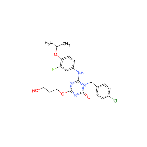 CC(C)Oc1ccc(Nc2nc(OCCCO)nc(=O)n2Cc2ccc(Cl)cc2)cc1F